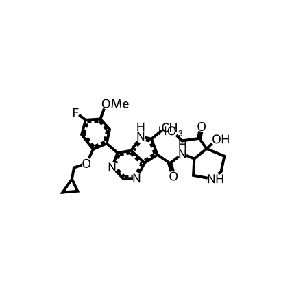 COc1cc(-c2ncnc3c(C(=O)NC4CNCCC4(O)C(=O)CO)c(C)[nH]c23)c(OCC2CC2)cc1F